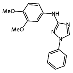 COc1ccc(Nc2ncn(-c3ccccc3)n2)cc1OC